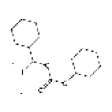 O=C(OC1CCCCC1)OC(I)C1CCCCC1